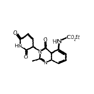 CCOC(=O)NC1=CC=CC2N=C(C)N(C3CCC(=O)NC3=O)C(=O)C12